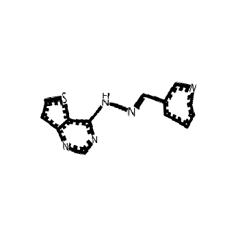 C(=NNc1ncnc2ccsc12)c1cccnc1